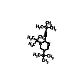 C[Si](C)(C)C#CC1N=CN([Si](C)(C)C)CN1[Si](C)(C)C